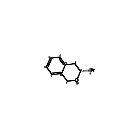 CC(C)[C@H]1Cc2ccccc2CO1